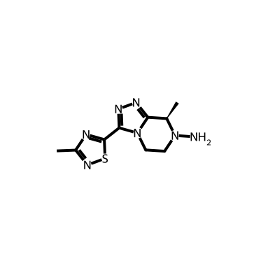 Cc1nsc(-c2nnc3n2CCN(N)[C@@H]3C)n1